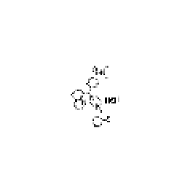 CCN(CC)C(=O)c1ccc(C(c2cccc3cccnc23)N2CCN(CC3=CC=CCC3=S)CC2)cc1.Cl.Cl